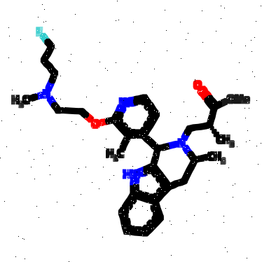 COC(=O)[C@H](C)CN1C(C)Cc2c([nH]c3ccccc23)C1c1ccnc(OCCN(C)CCCF)c1C